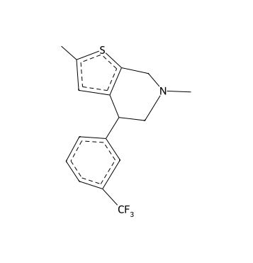 Cc1cc2c(s1)CN(C)CC2c1cccc(C(F)(F)F)c1